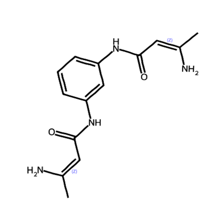 C/C(N)=C/C(=O)Nc1cccc(NC(=O)/C=C(/C)N)c1